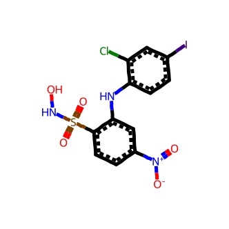 O=[N+]([O-])c1ccc(S(=O)(=O)NO)c(Nc2ccc(I)cc2Cl)c1